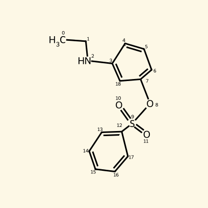 CCNc1[c]ccc(OS(=O)(=O)c2ccccc2)c1